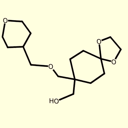 OCC1(COCC2CCOCC2)CCC2(CC1)OCCO2